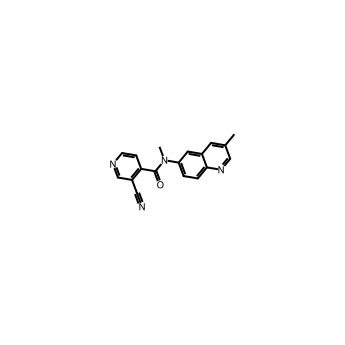 Cc1cnc2ccc(N(C)C(=O)c3ccncc3C#N)cc2c1